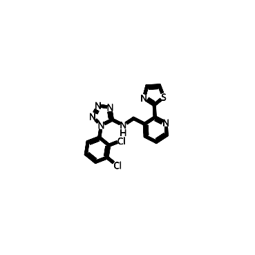 Clc1cccc(-n2nnnc2NCc2cccnc2-c2nccs2)c1Cl